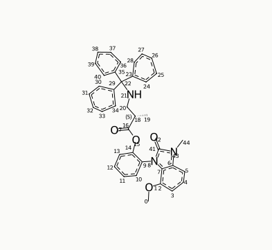 COc1cccc2c1n(-c1ccccc1OC(=O)[C@@H](C)CNC(c1ccccc1)(c1ccccc1)c1ccccc1)c(=O)n2C